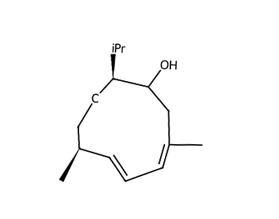 C/C1=C/C=C/[C@@H](C)CC[C@@H](C(C)C)C(O)C1